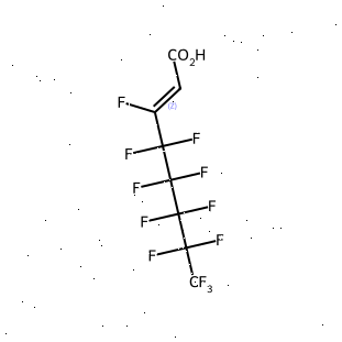 O=C(O)/C=C(\F)C(F)(F)C(F)(F)C(F)(F)C(F)(F)C(F)(F)F